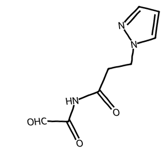 O=CC(=O)NC(=O)CCn1cccn1